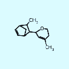 CC1=CC(C2C3C=CC(C3)C2C)OCC1